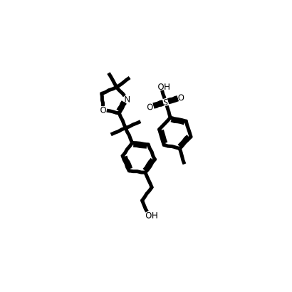 CC1(C)COC(C(C)(C)c2ccc(CCO)cc2)=N1.Cc1ccc(S(=O)(=O)O)cc1